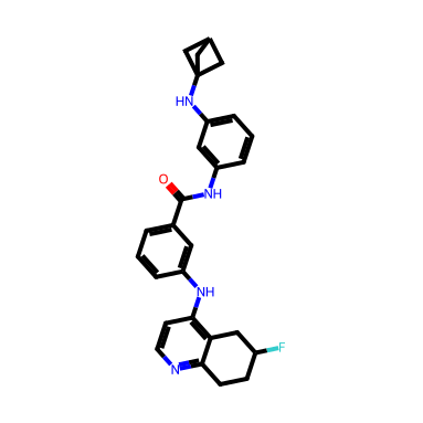 O=C(Nc1cccc(NC23CC(C2)C3)c1)c1cccc(Nc2ccnc3c2CC(F)CC3)c1